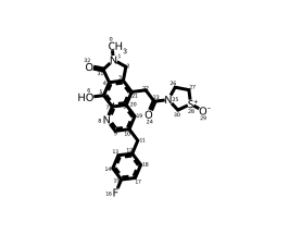 CN1Cc2c(c(O)c3ncc(Cc4ccc(F)cc4)cc3c2CC(=O)N2CC[S+]([O-])C2)C1=O